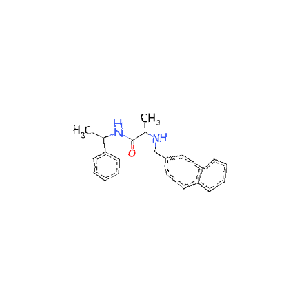 CC(NCc1ccc2ccccc2c1)C(=O)NC(C)c1ccccc1